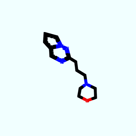 c1cc2cnc(CCCN3CCOCC3)nn2c1